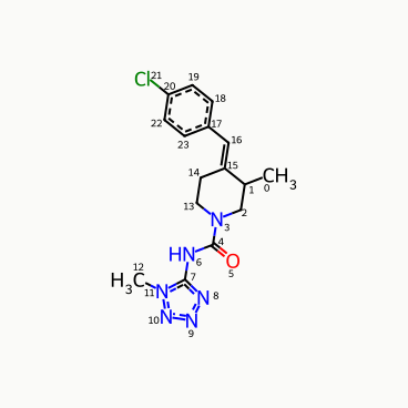 CC1CN(C(=O)Nc2nnnn2C)CCC1=Cc1ccc(Cl)cc1